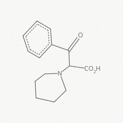 O=C(O)C(C(=O)c1ccccc1)N1CCCCC1